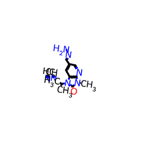 C#N.C#N.CC(C)n1c(=O)n(C)c2ncc(C=NN)cc21